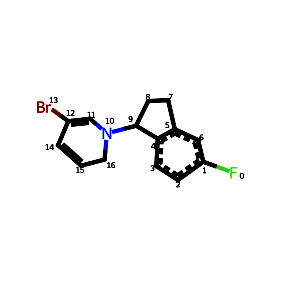 Fc1ccc2c(c1)CCC2N1C=C(Br)C=CC1